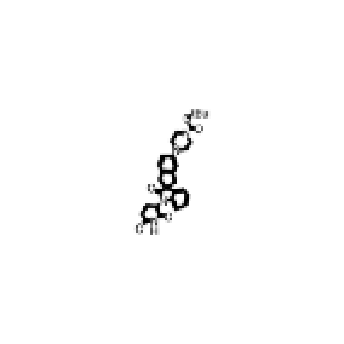 CC(C)(C)OC(=O)N1CCN(c2ccc3c(c2)CC2(C3)C(=O)N(C3CCC(=O)NC3=O)c3ccccc32)CC1